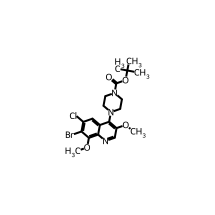 COc1cnc2c(OC)c(Br)c(Cl)cc2c1N1CCN(C(=O)OC(C)(C)C)CC1